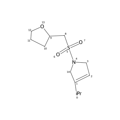 CC(C)C1=CCN(S(=O)(=O)CC2CCCO2)C1